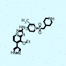 CCOc1c(-c2cn[nH]c2)ccn2nc(N[C@H]3CCN(S(=O)(=O)CC4CCNCC4)C[C@H]3C)nc12